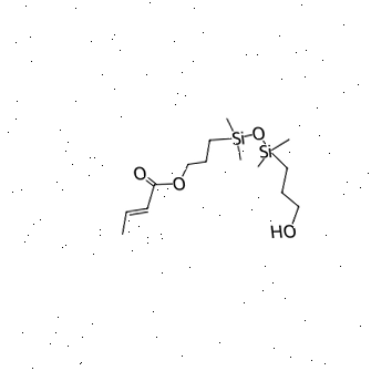 CC=CC(=O)OCCC[Si](C)(C)O[Si](C)(C)CCCO